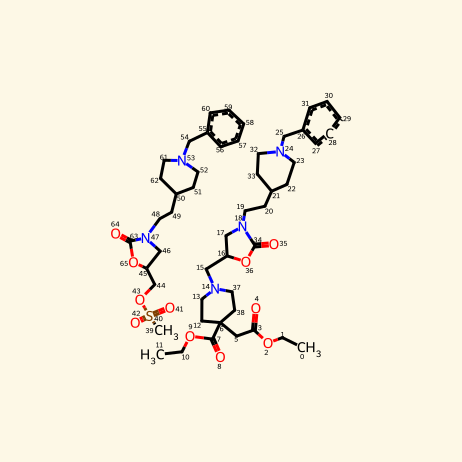 CCOC(=O)CC1(C(=O)OCC)CCN(CC2CN(CCC3CCN(Cc4ccccc4)CC3)C(=O)O2)CC1.CS(=O)(=O)OCC1CN(CCC2CCN(Cc3ccccc3)CC2)C(=O)O1